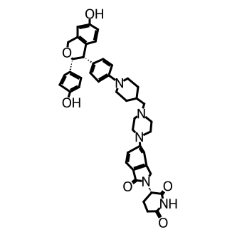 O=C1CC[C@H](N2Cc3cc(N4CCN(CC5CCN(c6ccc([C@H]7c8ccc(O)cc8CO[C@H]7c7ccc(O)cc7)cc6)CC5)CC4)ccc3C2=O)C(=O)N1